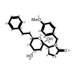 COc1ccc(CN2C(=O)SC[C@H]2[C@@]2(O)C[C@H](O)C[C@@H](CCc3ccccc3)O2)cc1